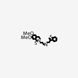 COc1cc2c(cc1OC)C(=S)N(CCCN(C)CCc1csc3ccccc13)CC2